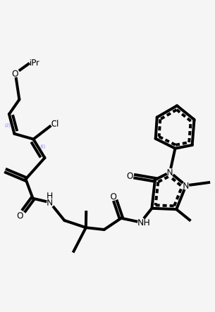 C=C(/C=C(Cl)\C=C/COC(C)C)C(=O)NCC(C)(C)CC(=O)Nc1c(C)n(C)n(-c2ccccc2)c1=O